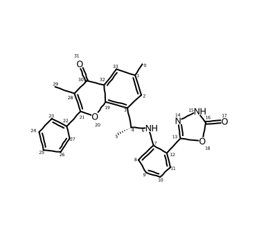 Cc1cc([C@@H](C)Nc2ccccc2-c2n[nH]c(=O)o2)c2oc(-c3ccccc3)c(C)c(=O)c2c1